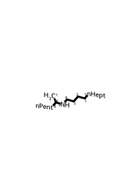 CCCCCCCCCCCNC(C)CCCCC